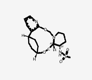 CS(=O)(=O)N[C@H]1CCCN2COc3ncccc3[C@H]3CC[C@H](CC3)OC[C@@H]12